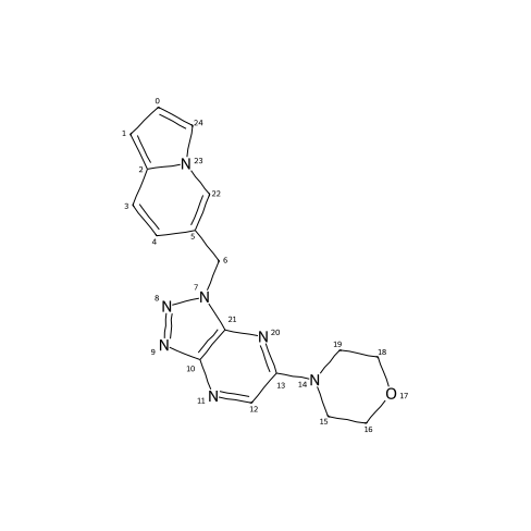 c1cc2ccc(Cn3nnc4ncc(N5CCOCC5)nc43)cn2c1